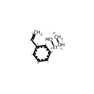 C=Cc1ccccc1.CCO.CO